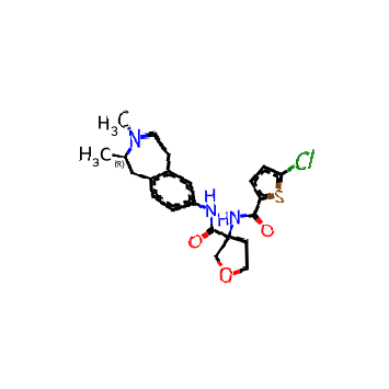 C[C@@H]1Cc2ccc(NC(=O)C3(NC(=O)c4ccc(Cl)s4)CCOC3)cc2CCN1C